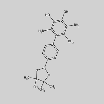 Bc1c(B)c(-c2ccc(B3OC(C)(C)C(C)(C)O3)cc2)c(B)c(O)c1O